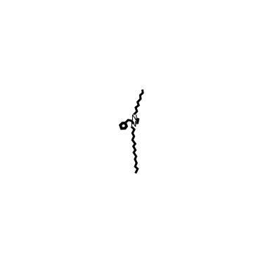 CCCCCCCCCCCCCCCN1C=CN(CCCCCCCCC)C1Cc1ccccc1